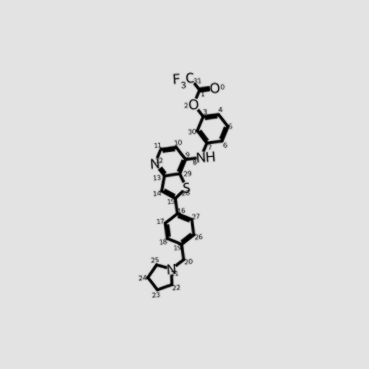 O=C(Oc1cccc(Nc2ccnc3cc(-c4ccc(CN5CCCC5)cc4)sc23)c1)C(F)(F)F